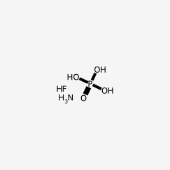 F.N.O=P(O)(O)O